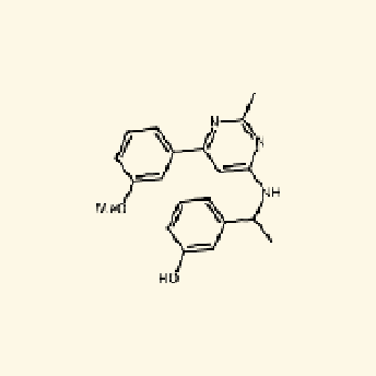 COc1cccc(-c2cc(NC(C)c3cccc(O)c3)nc(C)n2)c1